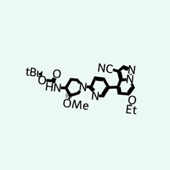 CCOc1cc(-c2ccc(N3CCC(NC(=O)OC(C)(C)C)[C@H](OC)C3)nc2)c2c(C#N)cnn2c1